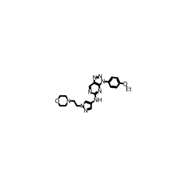 CCOc1ccc(-n2nnc3cnc(Nc4cnn(CCN5CCOCC5)c4)nc32)cc1